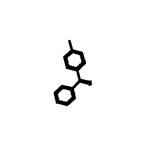 Cc1ccc(C(=S)c2ccccc2)cc1